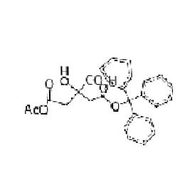 CC(=O)OC(=O)CC(O)(CC(=O)OC(c1ccccc1)(c1ccccc1)c1ccccc1)C(=O)O